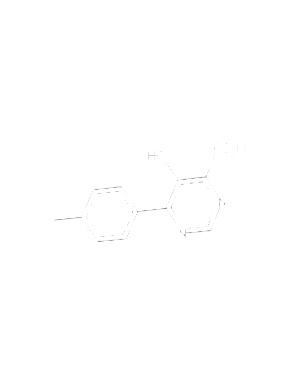 Cc1ccc(-c2ncnc(C(=O)O)c2O)cc1